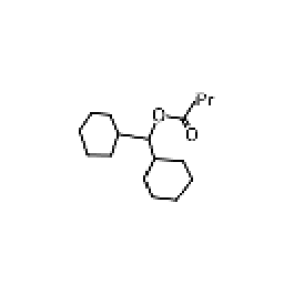 CC(C)C(=O)OC(C1CCCCC1)C1CCCCC1